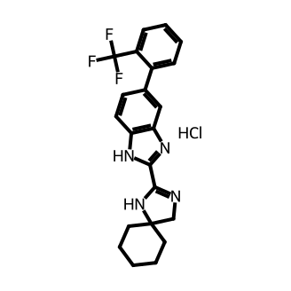 Cl.FC(F)(F)c1ccccc1-c1ccc2[nH]c(C3=NCC4(CCCCC4)N3)nc2c1